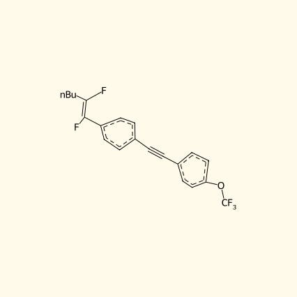 CCCCC(F)=C(F)c1ccc(C#Cc2ccc(OC(F)(F)F)cc2)cc1